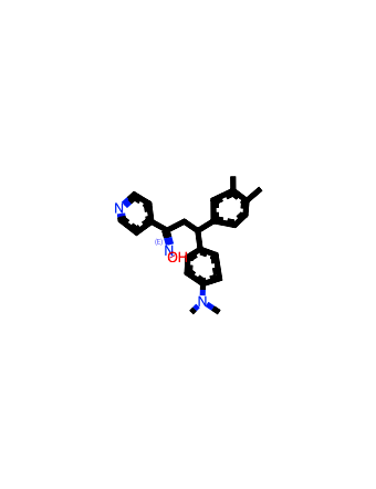 Cc1ccc(C(C/C(=N\O)c2ccncc2)c2ccc(N(C)C)cc2)cc1C